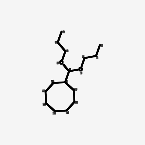 CCCOC(OCCC)C1CCCCCCC1